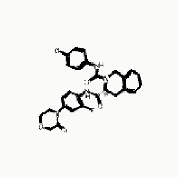 O=C(Nc1ccc(N2CCOCC2=O)cc1F)[C@H]1Cc2ccccc2CN1C(=O)Nc1ccc(Cl)cc1